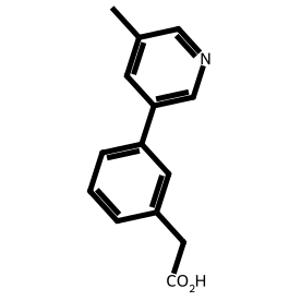 Cc1cncc(-c2cccc(CC(=O)O)c2)c1